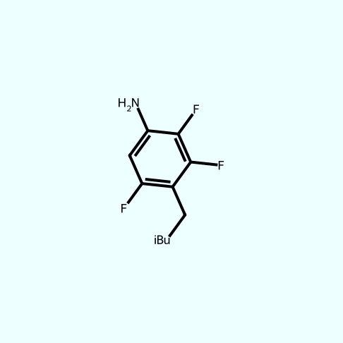 CCC(C)Cc1c(F)cc(N)c(F)c1F